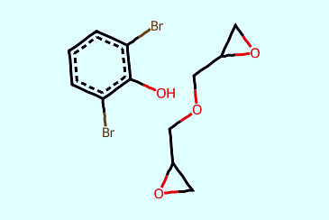 C(OCC1CO1)C1CO1.Oc1c(Br)cccc1Br